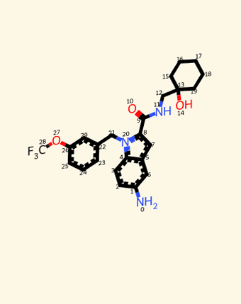 Nc1ccc2c(c1)cc(C(=O)NCC1(O)CCCCC1)n2Cc1cccc(OC(F)(F)F)c1